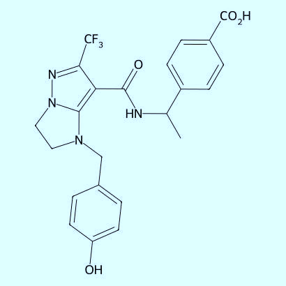 CC(NC(=O)c1c(C(F)(F)F)nn2c1N(Cc1ccc(O)cc1)CC2)c1ccc(C(=O)O)cc1